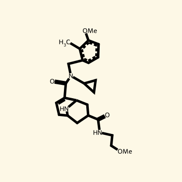 COCCNC(=O)C1CC2CC=C(C(=O)N(Cc3cccc(OC)c3C)C3CC3)C(C1)N2